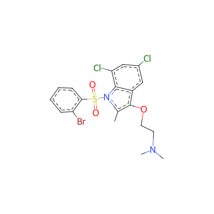 Cc1c(OCCN(C)C)c2cc(Cl)cc(Cl)c2n1S(=O)(=O)c1ccccc1Br